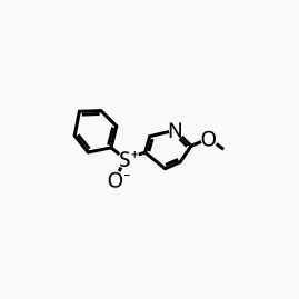 COc1ccc([S+]([O-])c2ccccc2)cn1